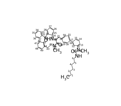 CCCCCCCNC(=O)N(C)c1cccc(-c2ccc(C[C@H](Nc3ccccc3C(=O)c3ccccc3)C(=O)N(C)CCc3ccccc3)cc2)c1